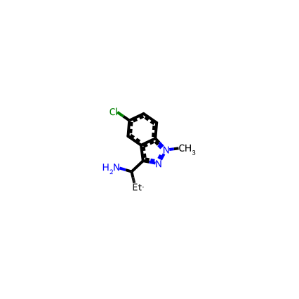 C[CH]C(N)c1nn(C)c2ccc(Cl)cc12